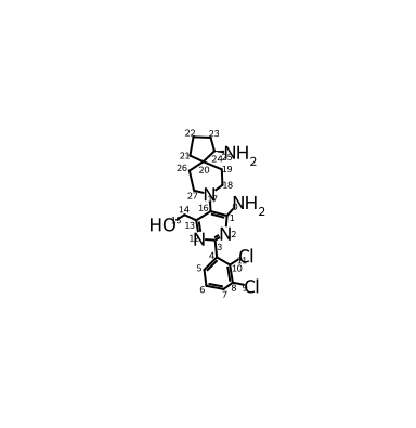 Nc1nc(-c2cccc(Cl)c2Cl)nc(CO)c1N1CCC2(CCC[C@H]2N)CC1